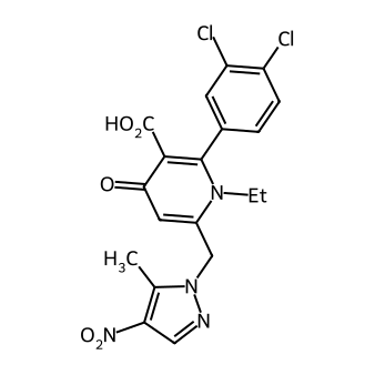 CCn1c(Cn2ncc([N+](=O)[O-])c2C)cc(=O)c(C(=O)O)c1-c1ccc(Cl)c(Cl)c1